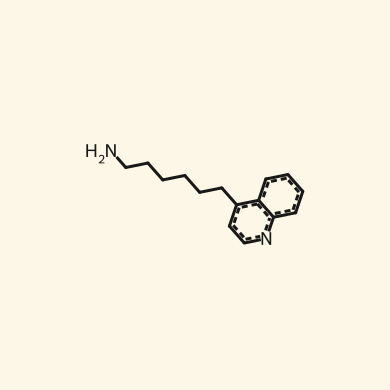 NCCCCCCc1ccnc2ccccc12